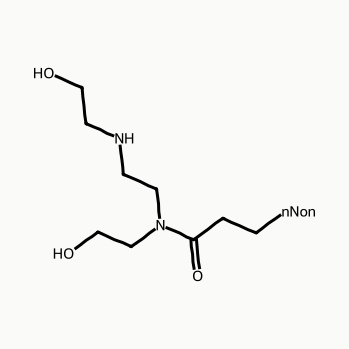 CCCCCCCCCCCC(=O)N(CCO)CCNCCO